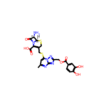 Cc1cc(SCC2=C(C(=O)O)N3C(=O)[C@@H](N)[C@H]3SC2)n2nc(COC(=O)c3ccc(O)c(O)c3)nc2n1